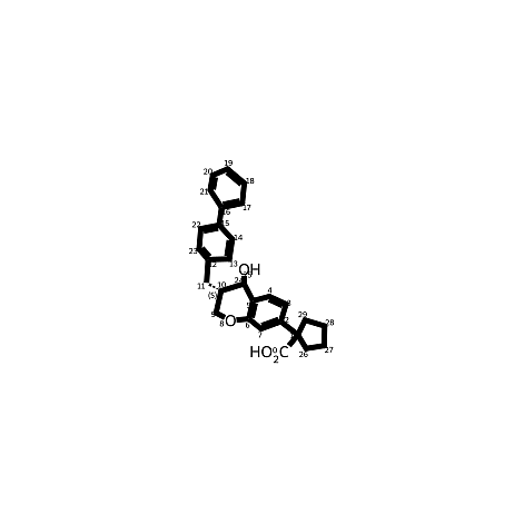 O=C(O)C1(c2ccc3c(c2)OC[C@H](Cc2ccc(-c4ccccc4)cc2)C3O)CCCC1